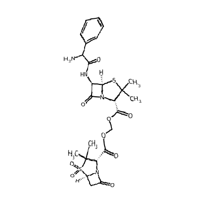 CC1(C)S[C@@H]2[C@H](NC(=O)C(N)c3ccccc3)C(=O)N2[C@H]1C(=O)OCOC(=O)[C@@H]1N2C(=O)C[C@H]2S(=O)(=O)C1(C)C